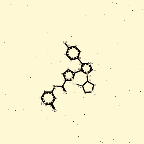 O=C(Nc1cc[nH]c(=O)c1)c1ccc(-c2c(-c3ccc(F)cc3)ncn2C2COC[C@H]2F)o1